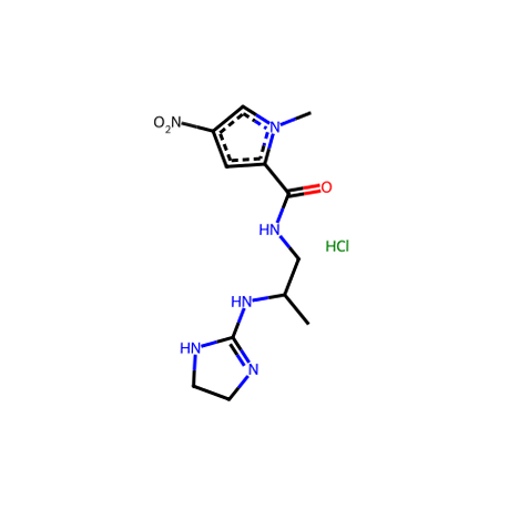 CC(CNC(=O)c1cc([N+](=O)[O-])cn1C)NC1=NCCN1.Cl